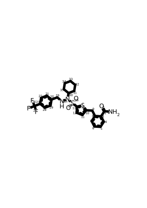 NC(=O)c1ccccc1Cc1ccc(S(=O)(=O)N(NCc2ccc(C(F)(F)F)cc2)C2CCCCC2)s1